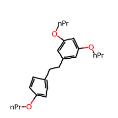 CCCOc1ccc(CCc2cc(OCCC)cc(OCCC)c2)cc1